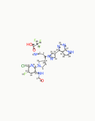 N#CCC([C@H]1CCN(c2nc(Cl)c(F)cc2NC=O)C1)n1cc(-c2ncnc3[nH]ccc23)cn1.O=C(O)C(F)(F)F